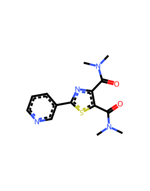 CN(C)C(=O)c1nc(-c2cccnc2)sc1C(=O)N(C)C